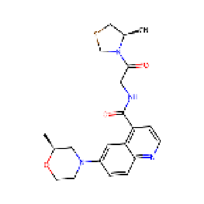 C[C@H]1CN(c2ccc3nccc(C(=O)NCC(=O)N4CSC[C@H]4C#N)c3c2)CCO1